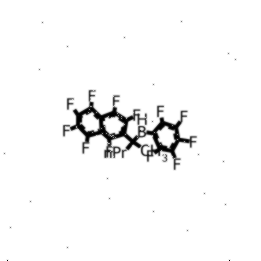 CCCC(C)(Bc1c(F)c(F)c(F)c(F)c1F)c1c(F)c(F)c2c(F)c(F)c(F)c(F)c2c1F